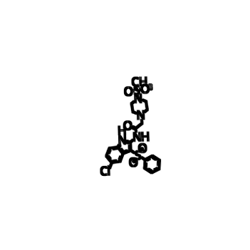 CS(=O)(=O)N1CCN(CC(=O)Nc2[nH]c3ccc(Cl)cc3c2S(=O)(=O)c2ccccc2)CC1